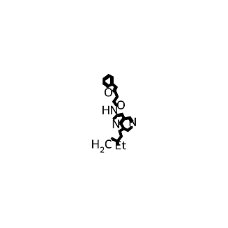 C=CC(CC)CCC1CCN=Cc2cc(NC(=O)CCc3cc4ccccc4o3)cnc21